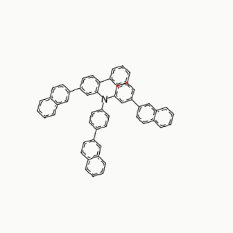 c1ccc(-c2ccc(-c3ccc4ccccc4c3)cc2N(c2ccc(-c3ccc4ccccc4c3)cc2)c2cccc(-c3ccc4ccccc4c3)c2)cc1